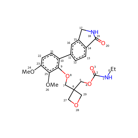 CCNC(=O)OCC1(COc2c(-c3ccc4c(c3)CNC4=O)ccc(OC)c2OC)COC1